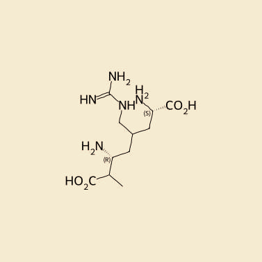 CC(C(=O)O)[C@H](N)CC(CNC(=N)N)C[C@H](N)C(=O)O